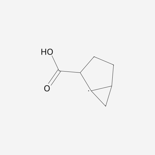 O=C(O)C1CCC2C[C]21